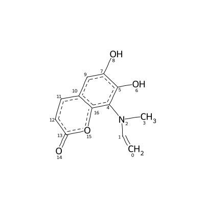 C=CN(C)c1c(O)c(O)cc2ccc(=O)oc12